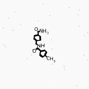 Cc1ccc(C(=O)NCc2ccc(C(N)=O)cc2)cc1